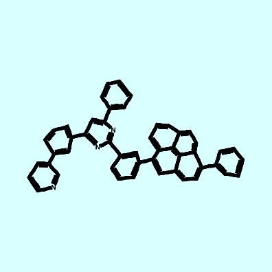 c1ccc(-c2cc(-c3cccc(-c4cccnc4)c3)nc(-c3cccc(-c4cc5ccc(-c6ccccc6)c6ccc7cccc4c7c56)c3)n2)cc1